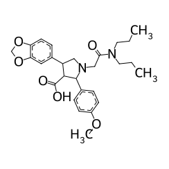 CCCN(CCC)C(=O)CN1CC(c2ccc3c(c2)OCO3)C(C(=O)O)C1c1ccc(OC)cc1